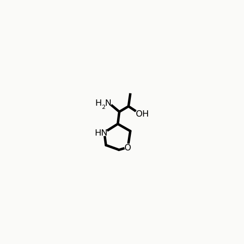 CC(O)C(N)C1COCCN1